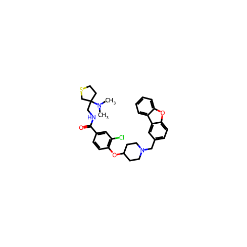 CN(C)C1(CNC(=O)c2ccc(OC3CCN(Cc4ccc5oc6ccccc6c5c4)CC3)c(Cl)c2)CCSC1